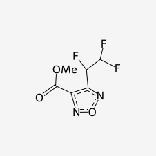 COC(=O)c1nonc1C(F)C(F)F